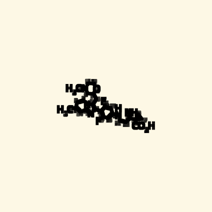 Cc1ccn2c(CC3CN(C)CCO3)c(-c3c(F)cc(N/C=C\C(=N)C4(C(=O)O)CC4)cc3F)nc2c1